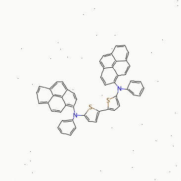 c1ccc(N(c2ccc(-c3ccc(N(c4ccccc4)c4ccc5ccc6cccc7ccc4c5c67)s3)s2)c2ccc3ccc4cccc5ccc2c3c45)cc1